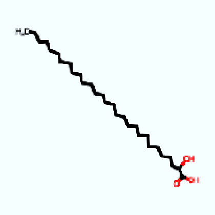 CCCCCCCCCCCCCCCCCCCCCCCCCCCC(O)C(=O)O